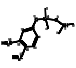 C[SiH](C)O[Si](C)(C)Oc1ccc(C(=O)O)c(C(=O)O)c1